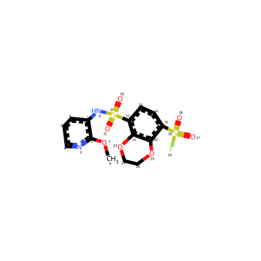 COc1ncccc1NS(=O)(=O)c1ccc(S(=O)(=O)F)c2c1OCCO2